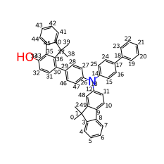 CC1(C)c2ccccc2-c2ccc(N(c3ccc(-c4ccccc4)cc3)c3ccc(-c4ccc(O)c5c4C(C)(C)c4ccccc4-5)cc3)cc21